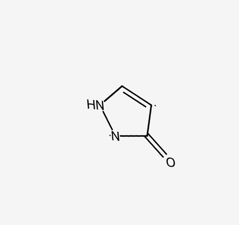 O=C1[C]=CN[N]1